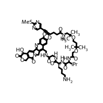 CSc1ncc(C#CCCCC(=O)NCC(C)(C)OCCC(C)(C)OCC(=O)NC(C(=O)N[C@@H](CCCCN)C(=O)NCC(=O)NCc2c3c(nc4cc5c(cc24)OCO5)-c2cc4c(c(=O)n2C3)COC(=O)[C@H]4O)C(C)C)cn1